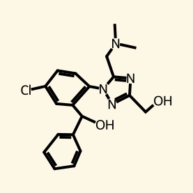 CN(C)Cc1nc(CO)nn1-c1ccc(Cl)cc1C(O)c1ccccc1